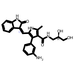 Cc1[nH]c(/C=C2\C(=O)Nc3ccccc32)c(-c2cccc(N)c2)c1C(=O)NC[C@@H](O)CO